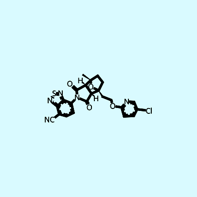 C[C@@]12CC[C@@](CCOc3ccc(Cl)cn3)(O1)[C@H]1C(=O)N(c3ccc(C#N)c4nsnc34)C(=O)[C@H]12